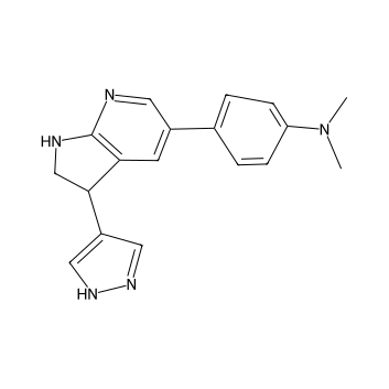 CN(C)c1ccc(-c2cnc3c(c2)C(c2cn[nH]c2)CN3)cc1